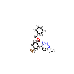 CCOC(=O)C(N)c1cc(Br)ccc1OCc1ccccc1